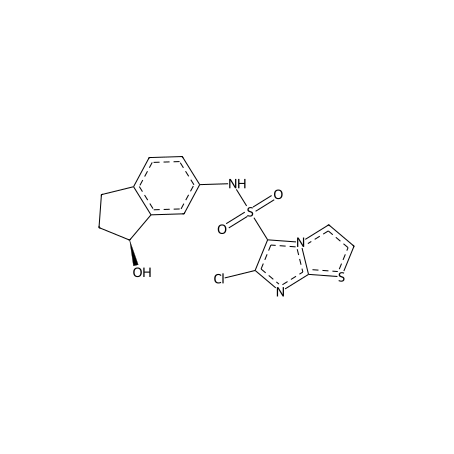 O=S(=O)(Nc1ccc2c(c1)[C@@H](O)CC2)c1c(Cl)nc2sccn12